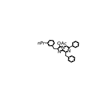 CCCc1cccc(Cc2nc3c(Cc4ccccc4)nc(-c4ccccc4)cn3c2OC(C)=O)c1